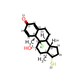 C[C@]12C[C@H](O)C3(F)[C@@H](CCC4=CC(=O)C=C[C@@]43C)[C@@H]1CC[C@@H]2S